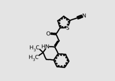 CC1(C)Cc2ccccc2C(=CC(=O)c2ccc(C#N)s2)N1